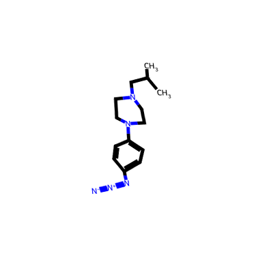 C[C](C)CN1CCN(c2ccc(N=[N+]=[N-])cc2)CC1